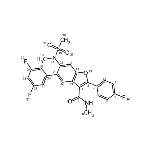 CNC(=O)c1c(-c2ccc(F)cc2)oc2cc(N(C)S(C)(=O)=O)c(-c3cc(F)cc(F)c3)cc12